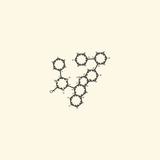 Clc1nc(-c2ccccc2)nc(-c2c3ccccc3cc3c2sc2cc(-c4ccccc4-c4ccccc4)ccc23)n1